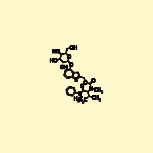 CC(C)C(C(=O)N(C)c1ccccc1)N(C)C(=O)OCc1cc2c(O[C@@H]3O[C@H](CO)[C@H](O)[C@H](O)[C@H]3O)cccc2s1